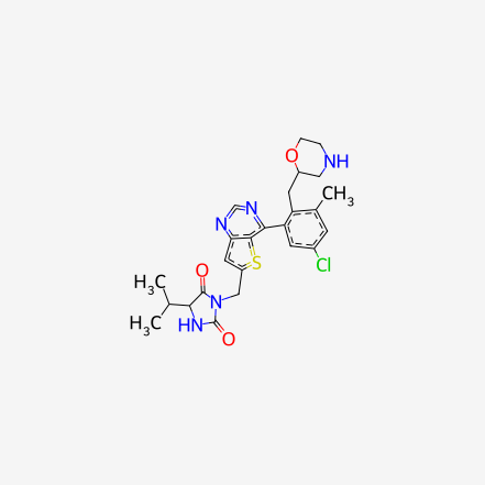 Cc1cc(Cl)cc(-c2ncnc3cc(CN4C(=O)NC(C(C)C)C4=O)sc23)c1CC1CNCCO1